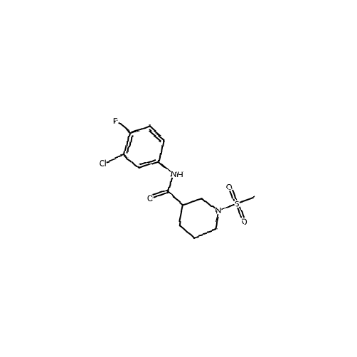 CS(=O)(=O)N1CCCC(C(=O)Nc2ccc(F)c(Cl)c2)C1